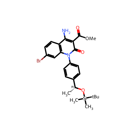 COC(=O)c1c(N)c2ccc(Br)cc2n(-c2ccc([C@@H](C)O[Si](C)(C)C(C)(C)C)cc2)c1=O